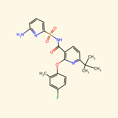 Cc1cc(F)ccc1Oc1nc(C(C)(C)C)ccc1C(=O)NS(=O)(=O)c1cccc(N)n1